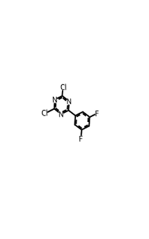 Fc1cc(F)cc(-c2nc(Cl)nc(Cl)n2)c1